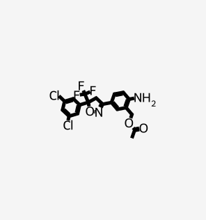 CC(=O)OCc1cc(C2=NOC(c3cc(Cl)cc(Cl)c3)(C(F)(F)F)C2)ccc1N